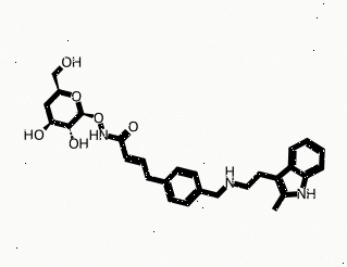 Cc1[nH]c2ccccc2c1CCNCc1ccc(C/C=C/C(=O)NO[C@@H]2O[C@H](CO)C[C@H](O)[C@H]2O)cc1